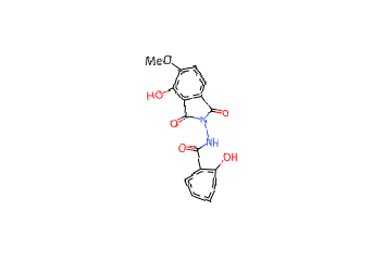 COc1ccc2c(c1O)C(=O)N(NC(=O)c1ccccc1O)C2=O